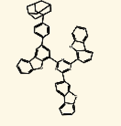 c1ccc2c(c1)oc1cc(-c3nc(-c4cccc5c4oc4ccccc45)nc(-c4cc(-c5ccc(C67CC8CC(CC(C8)C6)C7)cc5)cc5c4oc4ccccc45)n3)ccc12